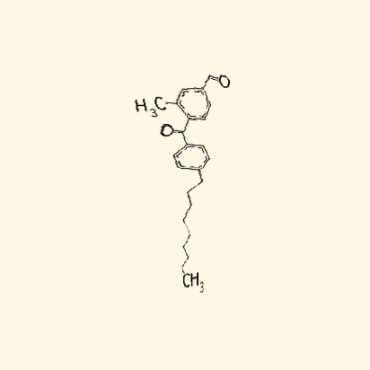 CCCCCCCCCc1ccc(C(=O)c2ccc(C=O)cc2C)cc1